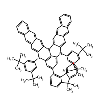 CC(C)(C)c1cc(N2c3cc4cc5ccccc5cc4cc3B3c4cc5cc6ccccc6cc5cc4N(c4cc(C(C)(C)C)cc(C(C)(C)C)c4)c4cc(-c5cccc6c5-c5ccccc5C6(C)C)cc2c43)cc(C(C)(C)C)c1